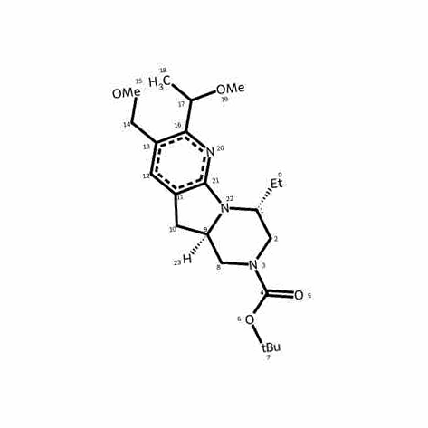 CC[C@@H]1CN(C(=O)OC(C)(C)C)C[C@H]2Cc3cc(COC)c(C(C)OC)nc3N12